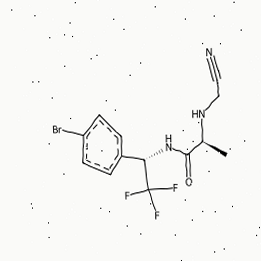 C[C@H](NCC#N)C(=O)N[C@@H](c1ccc(Br)cc1)C(F)(F)F